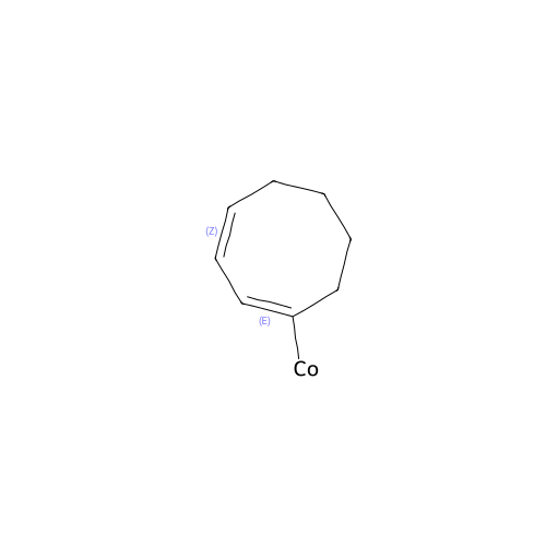 [Co]/[C]1=C/C=C\CCCC1